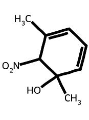 CC1=CC=CC(C)(O)C1[N+](=O)[O-]